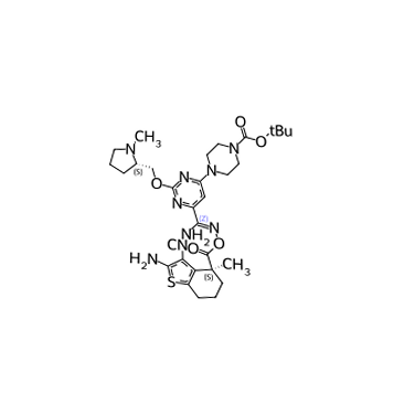 CN1CCC[C@H]1COc1nc(/C(N)=N/OC(=O)[C@@]2(C)CCCc3sc(N)c(C#N)c32)cc(N2CCN(C(=O)OC(C)(C)C)CC2)n1